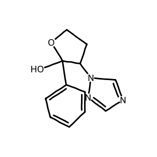 OC1(c2ccccc2)OCCC1n1cncn1